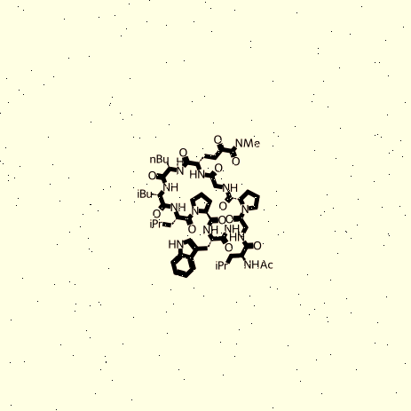 CCCC[C@H](NC(=O)[C@H](CCC(=O)C(=O)NC)NC(=O)CNC(=O)[C@@H]1CCCN1C(=O)CNC(=O)[C@H](CC(C)C)NC(C)=O)C(=O)N[C@H](C(=O)N[C@@H](CC(C)C)C(=O)N1CCC[C@H]1C(=O)N[C@@H](Cc1c[nH]c2ccccc12)C(N)=O)C(C)CC